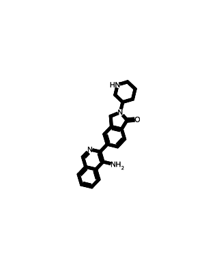 Nc1c(-c2ccc3c(c2)CN(C2CCCNC2)C3=O)ncc2ccccc12